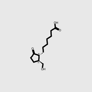 O=C(O)CCCCCC[C@H]1C(=O)CC[C@@H]1CO